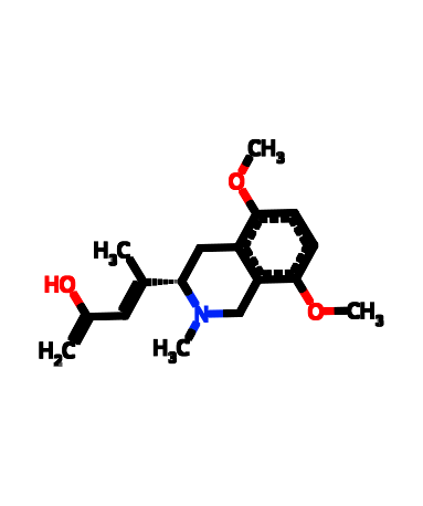 C=C(O)/C=C(\C)[C@@H]1Cc2c(OC)ccc(OC)c2CN1C